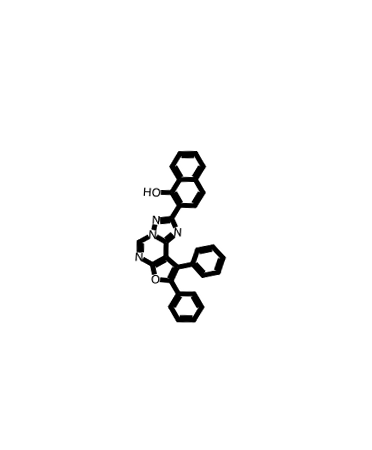 Oc1c(-c2nc3c4c(-c5ccccc5)c(-c5ccccc5)oc4ncn3n2)ccc2ccccc12